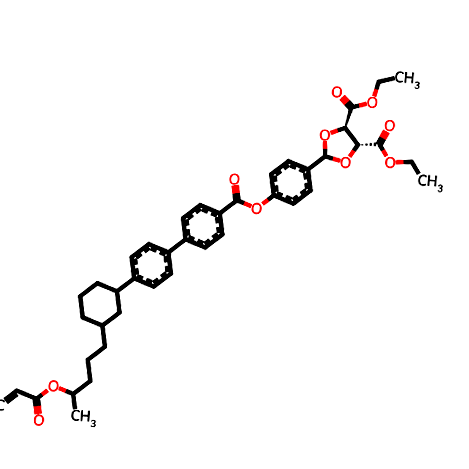 C=CC(=O)OC(C)CCCC1CCCC(c2ccc(-c3ccc(C(=O)Oc4ccc(C5O[C@@H](C(=O)OCC)[C@H](C(=O)OCC)O5)cc4)cc3)cc2)C1